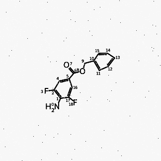 Nc1c(F)cc(C(=O)OCc2ccccc2)cc1F